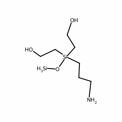 NCCC[Si](CCO)(CCO)O[SiH3]